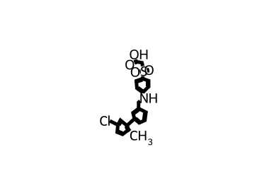 Cc1ccc(Cl)cc1-c1cccc(CNc2ccc(S(=O)(=O)CC(=O)O)cc2)c1